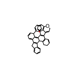 C1=CC(c2ccccc2)C2=C3C4=C(C5=CCOc6cccc4c65)C4=C(CCC=C4)C3C3=C(Cc4ccccc43)C2=C1